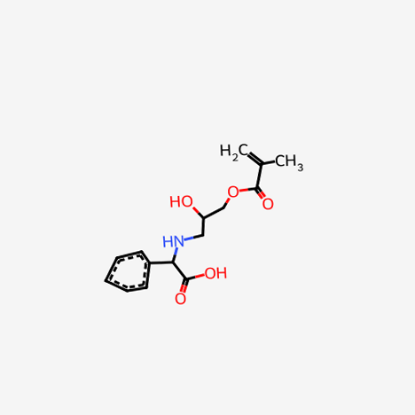 C=C(C)C(=O)OCC(O)CNC(C(=O)O)c1ccccc1